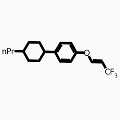 CCCC1CCC(c2ccc(OC=CC(F)(F)F)cc2)CC1